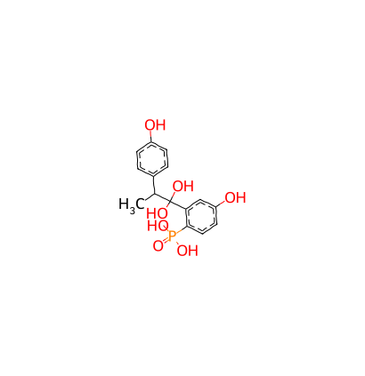 CC(c1ccc(O)cc1)C(O)(O)c1cc(O)ccc1P(=O)(O)O